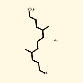 CC(C)CCCC(C)CCCC(C)CCCC(=O)O.[Na]